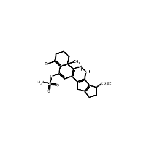 CCOC(=O)C1CCC2=C1C1=C(C2)C2=C(NN1)C1(C)CCCC(CC)=C1C(OS(N)(=O)=O)=C2